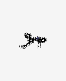 OCCCSc1cc(N2CCOCC2)nc(N/N=C\c2c[nH]c3ccccc23)n1